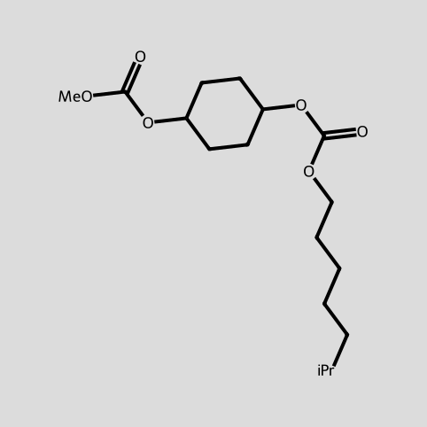 COC(=O)OC1CCC(OC(=O)OCCCCCC(C)C)CC1